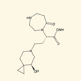 COC(=O)[C@H](CCN1CCC2(CC2)[C@H](O)C1)N1CCNCCC1=O